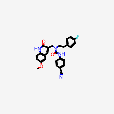 COc1ccc2[nH]c(=O)c(CN(CCc3ccc(F)cc3)C(=O)Nc3ccc(C#N)cc3)cc2c1